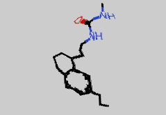 CCCc1ccc2c(c1)C(CCNC(=O)NC)CCC2